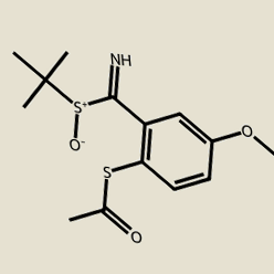 COc1ccc(SC(C)=O)c(C(=N)[S+]([O-])C(C)(C)C)c1